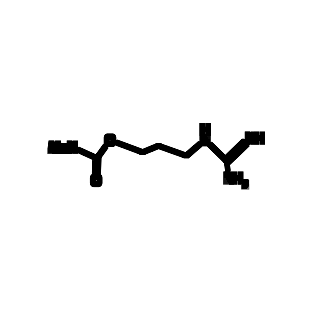 CNC(=O)OCCCNC(=N)N